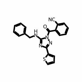 N#Cc1ccccc1C(=O)n1nc(-c2cccs2)nc1NCc1ccccc1